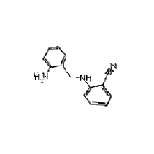 N#Cc1ccccc1NCc1ccccc1N